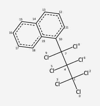 ClC(Cl)(Cl)C(Cl)(Cl)C(Cl)(Cl)c1[c]ccc2ccccc12